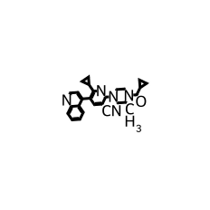 C[C@@H]1CN(c2nc(C3CC3)c(-c3ccnc4ccccc34)cc2C#N)CCN1C(=O)C1CC1